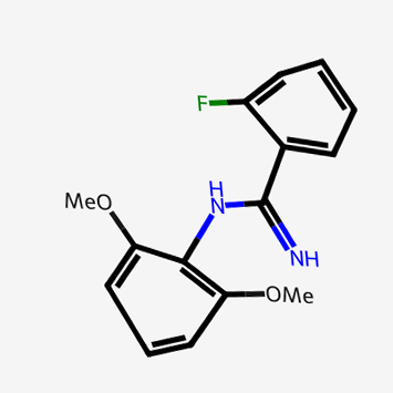 COc1cccc(OC)c1NC(=N)c1ccccc1F